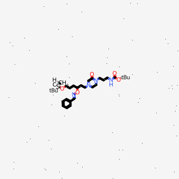 CC(C)(C)OC(=O)NCCCN1CCN(CCC(CCCO[Si](C)(C)C(C)(C)C)O/N=C/c2ccccc2)CC1=O